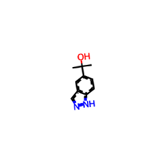 CC(C)(O)c1ccc2[nH]ncc2c1